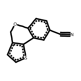 N#Cc1ccc2c(c1)-c1sccc1CO2